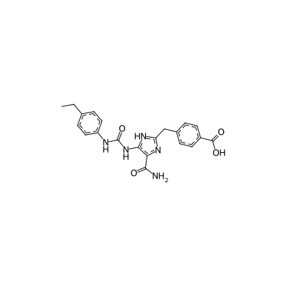 CCc1ccc(NC(=O)Nc2[nH]c(Cc3ccc(C(=O)O)cc3)nc2C(N)=O)cc1